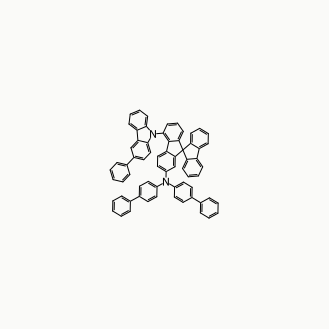 c1ccc(-c2ccc(N(c3ccc(-c4ccccc4)cc3)c3ccc4c(c3)C3(c5ccccc5-c5ccccc53)c3cccc(-n5c6ccccc6c6cc(-c7ccccc7)ccc65)c3-4)cc2)cc1